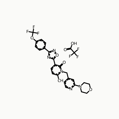 Cc1ccc(-c2nc(-c3ccc(OC(F)(F)F)cc3)no2)c(=O)n1Cc1ccnc(N2CCOCC2)c1.O=C(O)C(F)(F)F